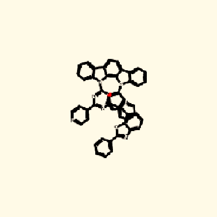 c1ccc(-c2nc3cccc(-c4cccc(-n5c6ccccc6c6ccc7c8ccccc8n(-c8nc(-c9ccncc9)nc(-c9ccccn9)n8)c7c65)c4)c3o2)cc1